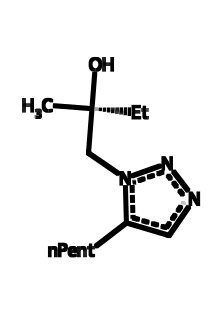 CCCCCc1cnnn1C[C@@](C)(O)CC